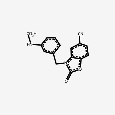 N#Cc1ccc2oc(=O)n(Cc3cccc(NC(=O)O)c3)c2c1